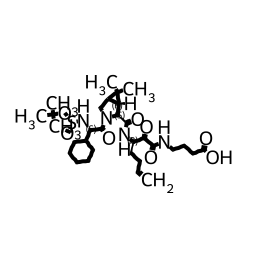 C=CCC[C@@H](NC(=O)[C@@H]1[C@@H]2C(CN1C(=O)[C@@H](NS(=O)OC(C)(C)C)C1CCCCC1)C2(C)C)C(=O)C(=O)NCCCC(=O)O